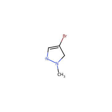 CN1CC(Br)=C[N]1